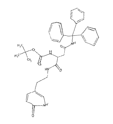 CC(C)(C)OC(=O)NC(CC(=O)NC(c1ccccc1)(c1ccccc1)c1ccccc1)C(=O)NCCc1ccc(=O)[nH]c1